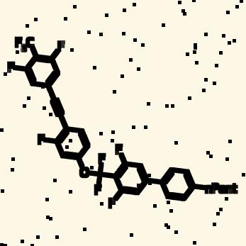 CCCCCc1ccc(-c2cc(F)c(C(F)(F)Oc3ccc(C#Cc4cc(F)c(C(F)(F)F)c(F)c4)c(F)c3)c(F)c2)cc1